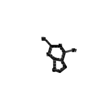 CCc1nc(C(C)C)c2ccoc2n1